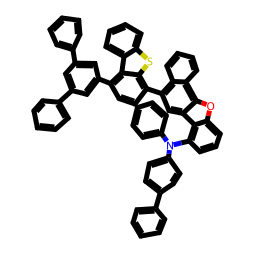 c1ccc(-c2ccc(N(c3ccccc3)c3cccc4oc5c6ccccc6c(-c6ccc(-c7cc(-c8ccccc8)cc(-c8ccccc8)c7)c7c6sc6ccccc67)cc5c34)cc2)cc1